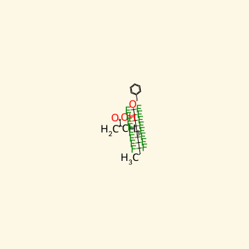 C=C(C)C(=O)O.CCC(F)(F)C(F)(F)C(F)(F)C(F)(F)C(F)(F)C(F)(F)C(F)(F)C(F)(F)OCc1ccccc1